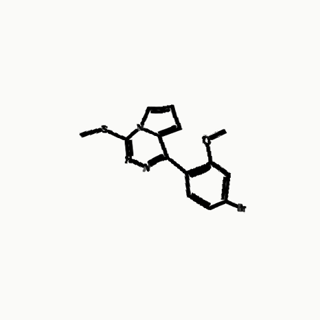 COc1cc(Br)ccc1-c1nnc(SC)n2cccc12